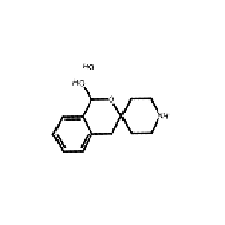 Cl.OC1OC2(CCNCC2)Cc2ccccc21